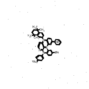 CC(C)(C)c1ccc(N2c3ccc(C(C)(C)C)cc3B3c4cc(C56CCC(CC5)CC6)ccc4N(c4ccc5c(c4)C(C)(C)CCC5(C)C)c4ccnc2c43)cc1